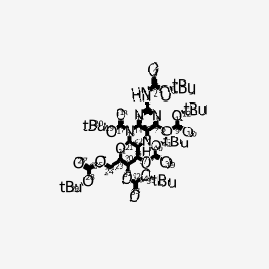 CC(C)(C)OC(=O)Nc1nc(OC(=O)OC(C)(C)C)c2c(n1)N(C(=O)OC(C)(C)C)C1OC(COC(=O)OC(C)(C)C)C(OC(=O)OC(C)(C)C)C(OC(=O)OC(C)(C)C)C1N2